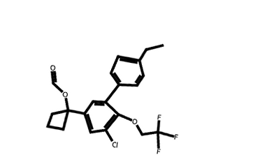 CCc1ccc(-c2cc(C3(OC=O)CCC3)cc(Cl)c2OCC(F)(F)F)cc1